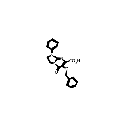 O=C(O)c1nc2n(c(=O)c1OCc1ccccc1)CCN2c1ccccc1